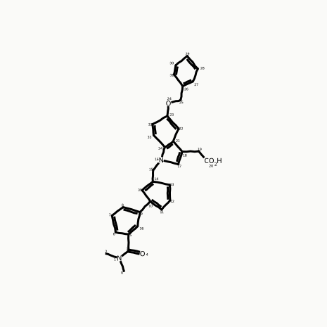 CN(C)C(=O)c1cccc(-c2cccc(Cn3cc(CC(=O)O)c4cc(OCc5ccccc5)ccc43)c2)c1